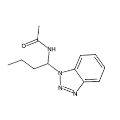 CCCC(NC(C)=O)n1nnc2ccccc21